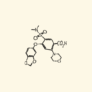 CN(C)S(=O)(=O)c1cc(C(=O)O)c(N2CCOCC2)cc1Oc1ccc2c(c1)OCO2